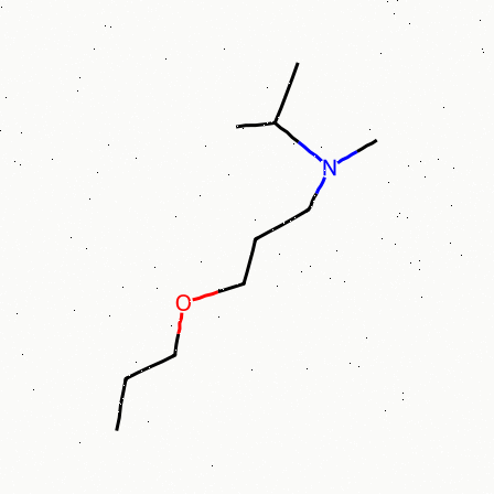 CCCOCCCN(C)C(C)C